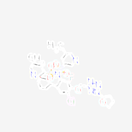 Cc1cncc(S(=O)(=O)N(c2c(-c3ccccc3)cc(Cl)c(OCc3nnn(C4CCCO4)n3)c2F)S(=O)(=O)c2cncc(C)c2)c1